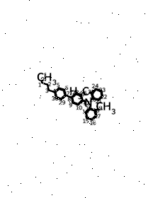 CCCCc1ccc(-c2ccc(N(c3ccccc3C)c3ccccc3C)cc2)cc1